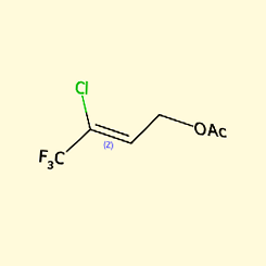 CC(=O)OC/C=C(\Cl)C(F)(F)F